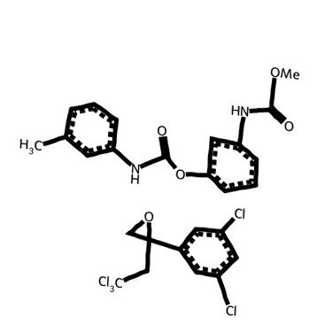 COC(=O)Nc1cccc(OC(=O)Nc2cccc(C)c2)c1.Clc1cc(Cl)cc(C2(CC(Cl)(Cl)Cl)CO2)c1